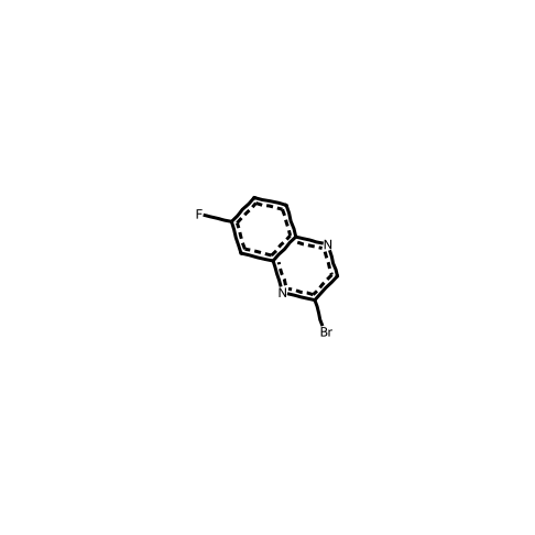 Fc1ccc2ncc(Br)nc2c1